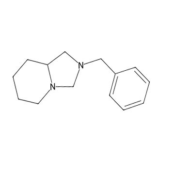 c1ccc(CN2CC3CCCCN3C2)cc1